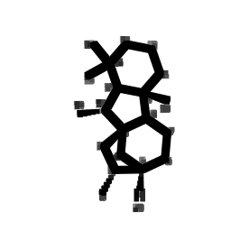 C[C@@H]1C[C@]23C[C@H]1CCC2[C@@]1(C)CCCC(C)(C)C1[C@H]3C